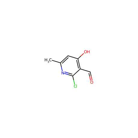 Cc1cc(O)c(C=O)c(Cl)n1